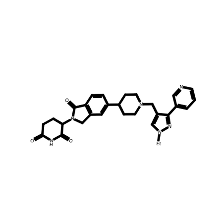 CCn1cc(CN2CCC(c3ccc4c(c3)CN(C3CCC(=O)NC3=O)C4=O)CC2)c(-c2cccnc2)n1